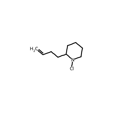 C=CCCC1CCCCN1Cl